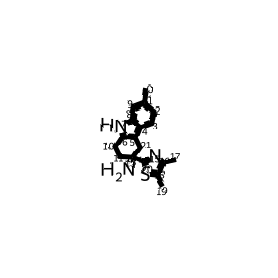 Cc1ccc2c3c([nH]c2c1)CC[C@](N)(c1nc(C)c(C)s1)C3